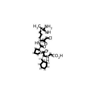 CN(CCC[C@H](NC(=O)[C@@H]1CCCN1C(=O)[C@@H](CC1CCCCC1)NCC(=O)O)C(=O)CCl)C(=N)N